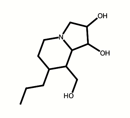 CCCC1CCN2CC(O)C(O)C2C1CO